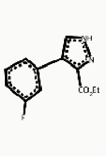 CCOC(=O)c1n[nH]cc1-c1cccc(F)c1